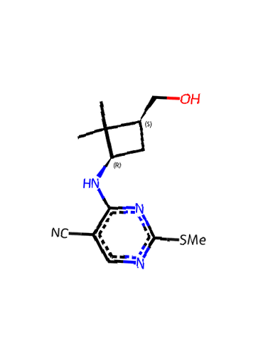 CSc1ncc(C#N)c(N[C@@H]2C[C@H](CO)C2(C)C)n1